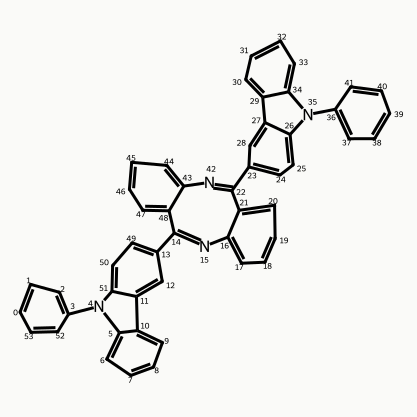 c1ccc(-n2c3ccccc3c3cc(/C4=N/c5ccccc5/C(c5ccc6c(c5)c5ccccc5n6-c5ccccc5)=N\c5ccccc54)ccc32)cc1